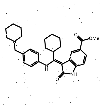 COC(=O)c1ccc2c(c1)/C(=C(/Nc1ccc(CN3CCCCC3)cc1)C1CCCCC1)C(=O)N2